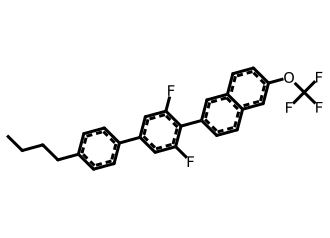 CCCCc1ccc(-c2cc(F)c(-c3ccc4cc(OC(F)(F)F)ccc4c3)c(F)c2)cc1